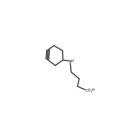 O=C(O)CCCNC1CC#CCC1